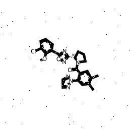 COc1c(Cl)cccc1-c1nc([C@@H]2CCCN2C(=O)c2cc(C)c(C)cc2-n2nccn2)no1